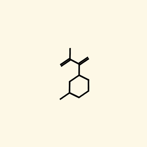 C=C(C)C(=C)C1CCCC(C)C1